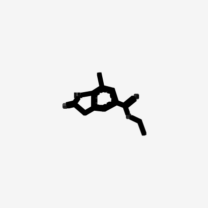 CCOC(=O)c1cc(C)c2c(c1)CC(=O)N2